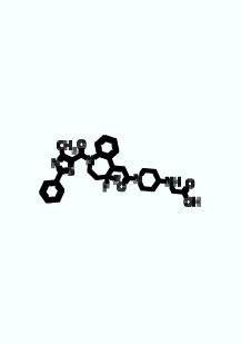 Cc1nc(-c2ccccc2)sc1C(=O)N1CCC(F)(F)C(=CC(=O)N2CCC(NCC(=O)O)CC2)c2ccccc21